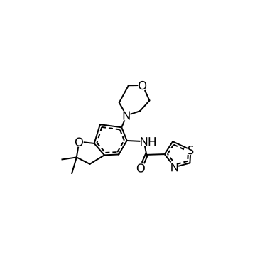 CC1(C)Cc2cc(NC(=O)c3cscn3)c(N3CCOCC3)cc2O1